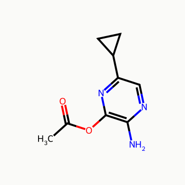 CC(=O)Oc1nc(C2CC2)cnc1N